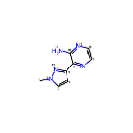 Cn1ccc(-c2nccnc2N)n1